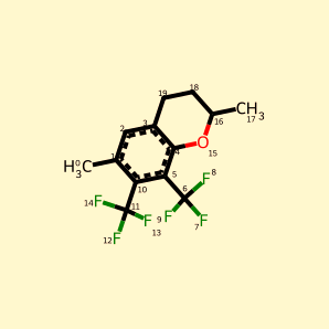 Cc1cc2c(c(C(F)(F)F)c1C(F)(F)F)OC(C)CC2